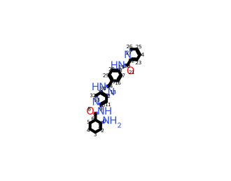 NC1CCCCC1C(=O)Nc1cc2nc(-c3ccc(NC(=O)c4ccccn4)cc3)[nH]c2cn1